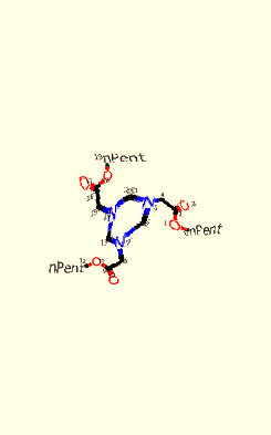 CCCCCOC(=O)CN1CN(CC(=O)OCCCCC)CN(CC(=O)OCCCCC)C1